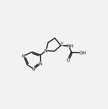 O=C(O)N[C@@H]1CCN(c2cncnn2)C1